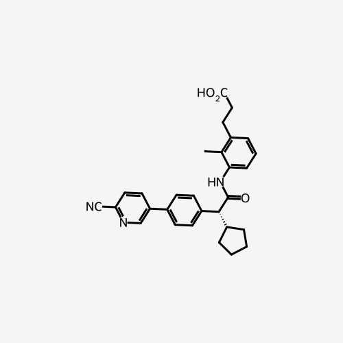 Cc1c(CCC(=O)O)cccc1NC(=O)[C@@H](c1ccc(-c2ccc(C#N)nc2)cc1)C1CCCC1